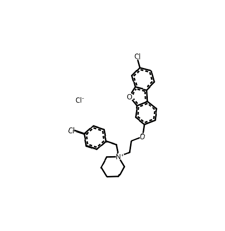 Clc1ccc(C[N+]2(CCOc3ccc4c(c3)oc3cc(Cl)ccc34)CCCCC2)cc1.[Cl-]